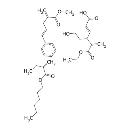 C=C(C(=O)OCC)C(C=CC(=O)O)CCO.C=C(CC)C(=O)OCCCCCC.C=C(CC=Cc1ccccc1)C(=O)OC